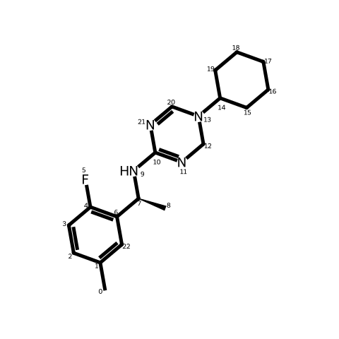 Cc1ccc(F)c([C@H](C)NC2=NCN(C3CCCCC3)C=N2)c1